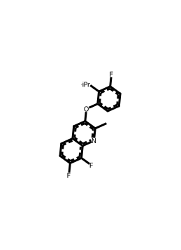 C[C](C)c1c(F)cccc1Oc1cc2ccc(F)c(F)c2nc1C